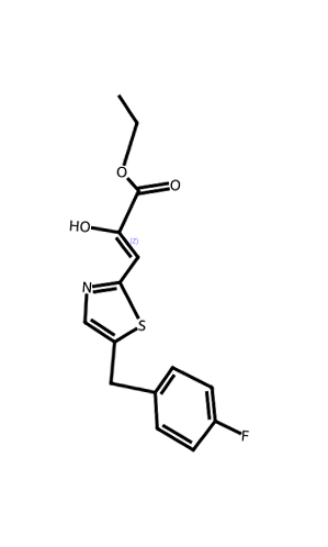 CCOC(=O)/C(O)=C/c1ncc(Cc2ccc(F)cc2)s1